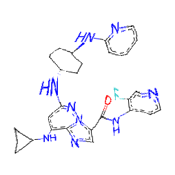 O=C(Nc1ccncc1F)c1cnc2c(NC3CC3)cc(N[C@H]3CC[C@H](Nc4ccccn4)CC3)nn12